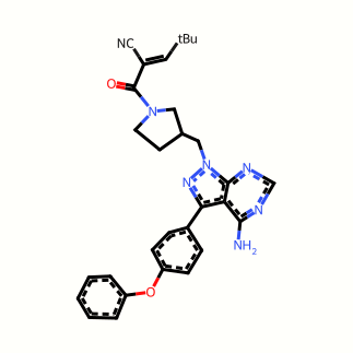 CC(C)(C)C=C(C#N)C(=O)N1CCC(Cn2nc(-c3ccc(Oc4ccccc4)cc3)c3c(N)ncnc32)C1